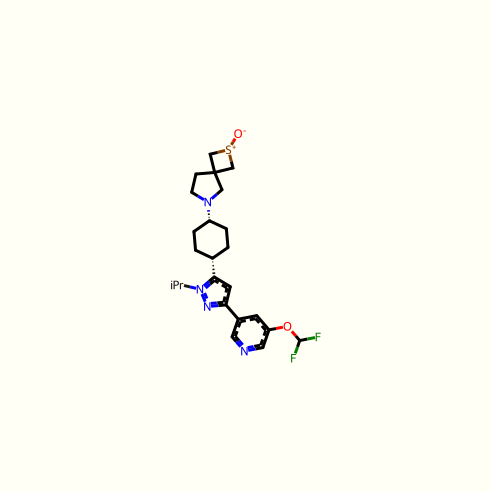 CC(C)n1nc(-c2cncc(OC(F)F)c2)cc1[C@H]1CC[C@@H](N2CCC3(C2)C[S+]([O-])C3)CC1